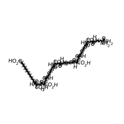 NC(=O)[C@@H](N)CCCCNC(=O)CC[C@H](NC(=O)COCCOCCNC(=O)CC[C@H](NC(=O)COCCOCCNC(=O)CC[C@H](NC(=O)COCCOCCNC(=O)CC[C@H](NC(=O)CC[C@H](NC(=O)CCCCCCCCCCCCCCCCC(=O)O)C(=O)O)C(=O)O)C(=O)O)C(=O)O)C(=O)O